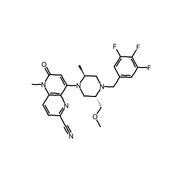 COC[C@@H]1CN(c2cc(=O)n(C)c3ccc(C#N)nc23)[C@@H](C)CN1Cc1cc(F)c(F)c(F)c1